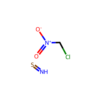 N=S.O=[N+]([O-])CCl